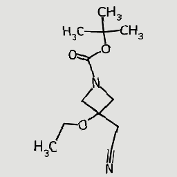 CCOC1(CC#N)CN(C(=O)OC(C)(C)C)C1